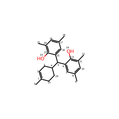 CC1=CCC(C(c2cc(C)cc(C)c2O)c2cc(C)cc(C)c2O)CC1